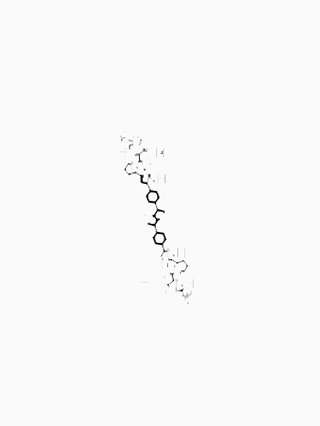 COC(=O)N[C@H](C(=O)N1CCCC1C1=NCC(c2ccc(-c3csc4c(-c5ccc(-c6cc(C7CCCN7C(=O)[C@@H](NC(=O)OC)C(C)C)n[nH]6)cc5)csc34)cc2)N1)C(C)C